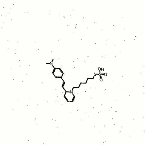 CN(C)c1ccc(/C=C/C2C=CC=CN2CCCCCCSS(=O)(=O)O)cc1